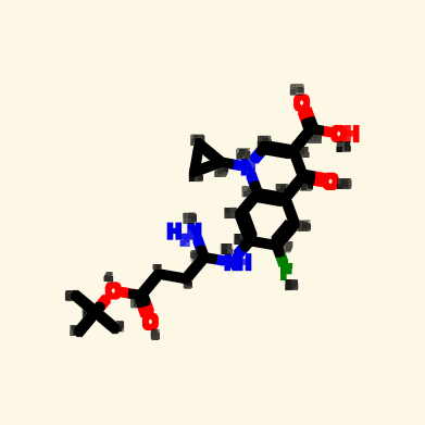 CC(C)(C)OC(=O)CCC(N)Nc1cc2c(cc1F)c(=O)c(C(=O)O)cn2C1CC1